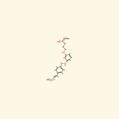 CCCCCCC(O)CCCOc1cccc(OCc2ccc(C=CC(=O)O)cc2)c1